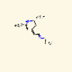 O=C(O)C/N=C/C=C1/C=C(C(=O)O)N[C@H](C(=O)O)C1